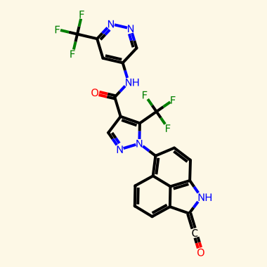 O=C=c1[nH]c2ccc(-n3ncc(C(=O)Nc4cnnc(C(F)(F)F)c4)c3C(F)(F)F)c3cccc1c23